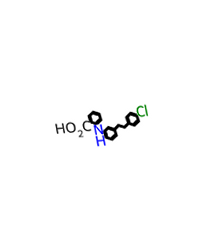 O=C(O)c1ccccc1Nc1cccc(CCc2ccc(Cl)cc2)c1